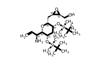 C=C[C@H](N)[C@@H]1O[C@H](C[C@H]2O[C@H]2CO)[C@H](O[Si](C)(C)C(C)(C)C)C[C@@H]1O[Si](C)(C)C(C)(C)C